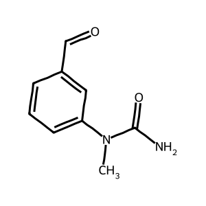 CN(C(N)=O)c1cccc(C=O)c1